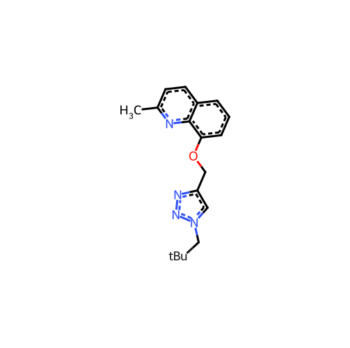 Cc1ccc2cccc(OCc3cn(CC(C)(C)C)nn3)c2n1